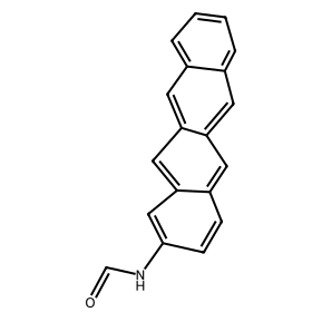 O=CNc1ccc2cc3cc4ccccc4cc3cc2c1